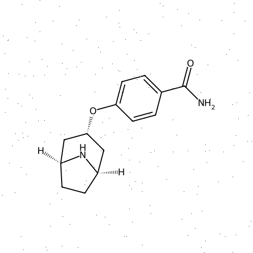 NC(=O)c1ccc(O[C@@H]2C[C@H]3CC[C@@H](C2)N3)cc1